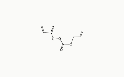 C=CCOC(=O)OOC(=O)C=C